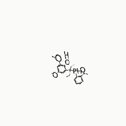 CCC(CC)(Pc1ccccc1C(C)=O)c1cc(OC)cc(OC)c1O